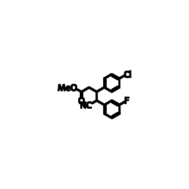 COC(=O)CC(c1ccc(Cl)cc1)C(C#N)c1cccc(F)c1